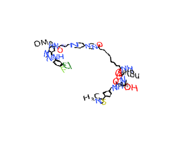 COc1cc2ncnc(Nc3ccc(F)c(Cl)c3)c2cc1NC(=O)/C=C/CN1CCC(N2CCN(C(=O)CCCCCCCCC(=O)N[C@H](C(=O)N3C[C@H](O)C[C@H]3C(=O)NCc3ccc(-c4scnc4C)cc3)C(C)(C)C)CC2)CC1